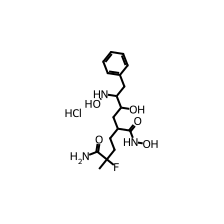 CC(F)(CCC(CC(O)C(Cc1ccccc1)NO)C(=O)NO)C(N)=O.Cl